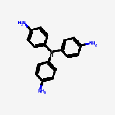 Nc1ccc([SiH](c2ccc(N)cc2)c2ccc(N)cc2)cc1